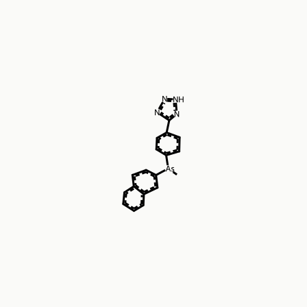 C[As](c1ccc(-c2nn[nH]n2)cc1)c1ccc2ccccc2c1